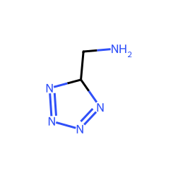 NCC1N=NN=N1